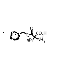 CCCC(N)(C(=O)O)C(=O)OCc1ccccc1